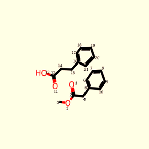 COC(=O)Cc1ccccc1.O=C(O)CCc1ccccc1